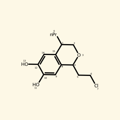 CCCC1COC(CCCl)c2cc(O)c(O)cc21